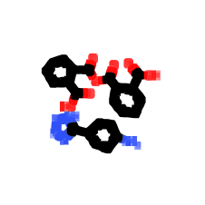 Nc1ccc(-c2nnn[nH]2)cc1.O=C(O)c1ccccc1C(=O)OC(=O)c1ccccc1C(=O)O